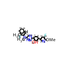 COc1ncc(-c2ccc(-c3ncc(N(C)[C@H]4C[C@@H]5CCC[C@@](C)(C5)[C@H]4F)nn3)c(O)c2)cc1F